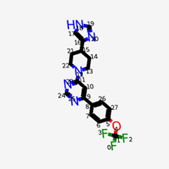 FC(F)(F)Oc1ccc(-c2cc(N3CCC(c4c[nH]cn4)CC3)ncn2)cc1